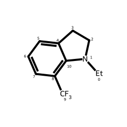 CCN1CCc2cccc(C(F)(F)F)c21